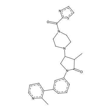 Cc1ncccc1-c1cccc(N2CC(N3CCN(C(=O)c4nccs4)CC3)C(C)C2=O)c1